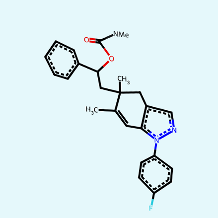 CNC(=O)OC(CC1(C)Cc2cnn(-c3ccc(F)cc3)c2C=C1C)c1ccccc1